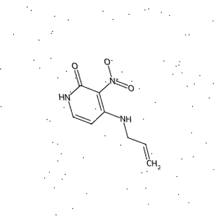 C=CCNc1cc[nH]c(=O)c1[N+](=O)[O-]